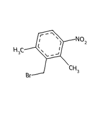 Cc1ccc([N+](=O)[O-])c(C)c1CBr